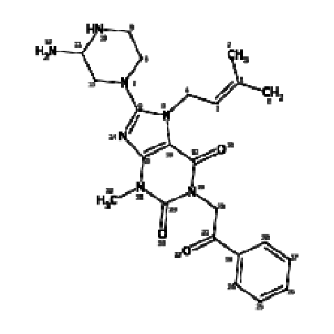 CC(C)=CCn1c(N2CCNC(N)C2)nc2c1c(=O)n(CC(=O)c1ccccc1)c(=O)n2C